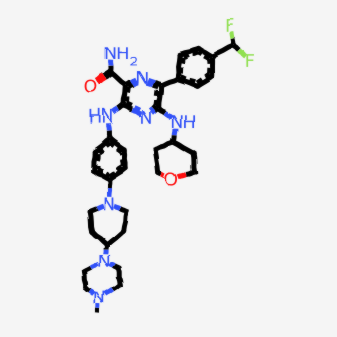 CN1CCN(C2CCN(c3ccc(Nc4nc(NC5CCOCC5)c(-c5ccc(C(F)F)cc5)nc4C(N)=O)cc3)CC2)CC1